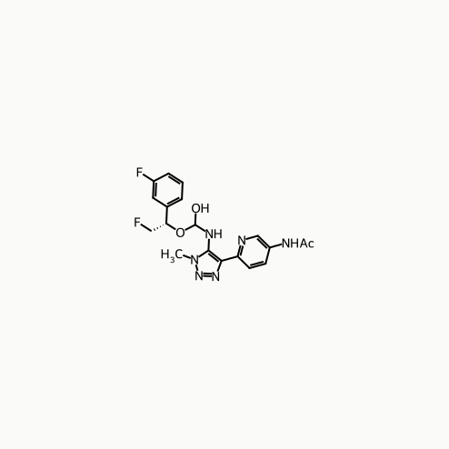 CC(=O)Nc1ccc(-c2nnn(C)c2NC(O)O[C@H](CF)c2cccc(F)c2)nc1